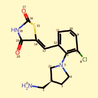 NC[C@@H]1CCN(c2c(Cl)cccc2/C=C2\SC(=O)NC2=O)C1